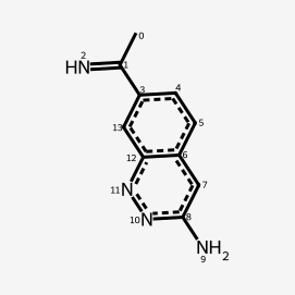 CC(=N)c1ccc2cc(N)nnc2c1